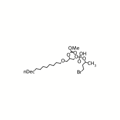 CCCCCCCCCCCCCCCCCCOCC(COP(=O)(O)OC(C)CCBr)OC(=O)OC